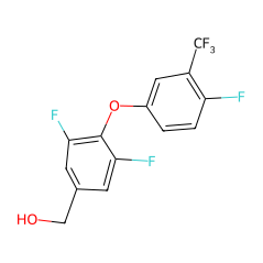 OCc1cc(F)c(Oc2ccc(F)c(C(F)(F)F)c2)c(F)c1